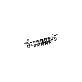 C=C(C)C(=O)OCC(F)(F)C(F)(F)C(F)(F)C(F)(F)C(F)(F)C(F)(F)C(F)(F)C(F)(F)C(F)(F)COC(=O)C(=C)C